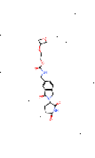 O=C1CCC(N2Cc3ccc(CNC(=O)OCCOC4COC4)cc3C2=O)C(=O)N1